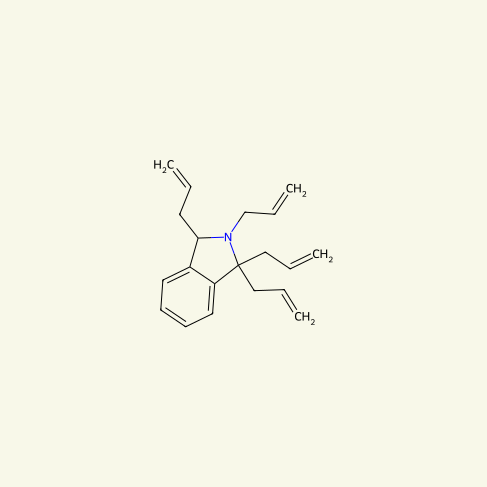 C=CCC1c2ccccc2C(CC=C)(CC=C)N1CC=C